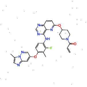 C=CC(=O)N1CCC(Oc2ccc3ncnc(Nc4ccc(Oc5cnn6c(C)cnc6c5)c(C)c4F)c3n2)CC1